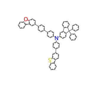 c1ccc(C2(c3ccccc3)c3ccccc3-c3cc(N(c4ccc(-c5ccc(-c6ccc7oc8ccccc8c7c6)cc5)cc4)c4ccc(-c5ccc6c(c5)sc5ccccc56)cc4)ccc32)cc1